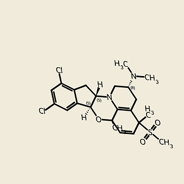 CN(C)[C@@H]1CC2=C3N(C1)[C@H]1Cc4c(Cl)cc(Cl)cc4[C@@H]1OC3(C)C=CC2(C)S(C)(=O)=O